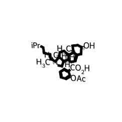 CC(=O)Oc1ccccc1C(=O)O.CC(C)CCC[C@@H](C)[C@H]1CC[C@H]2[C@@H]3CC=C4C[C@@H](O)CC[C@]4(C)[C@H]3CC[C@]12C